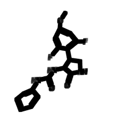 COc1cc(F)c(C2CNC(=O)C2NC(=O)Nc2ccccc2)c(F)c1